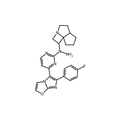 NN(c1nccc(-c2c(-c3ccc(F)cc3)nc3occn23)n1)C1CN2CCC3CCCC312